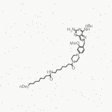 CCCCCCCCCCCCCCCCCC(=O)NCCCCCCC(=O)N1CCN(c2ccc(Cn3cc4nc(N)nc(NCCCC)c4n3)c(OC)c2)CC1